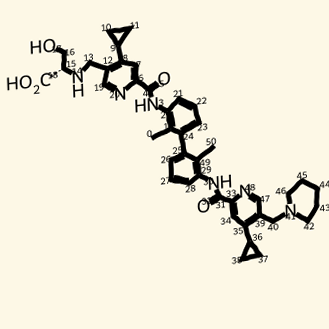 Cc1c(NC(=O)c2cc(C3CC3)c(CN[C@@H](CO)C(=O)O)cn2)cccc1-c1cccc(NC(=O)c2cc(C3CC3)c(CN3CCCCC3)cn2)c1C